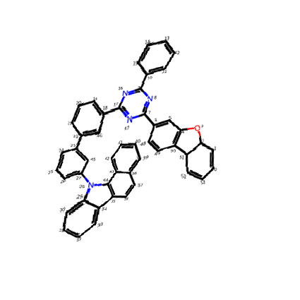 C1=CC2Oc3cc(-c4nc(-c5ccccc5)nc(-c5cccc(-c6cccc(-n7c8ccccc8c8ccc9ccccc9c87)c6)c5)n4)ccc3C2C=C1